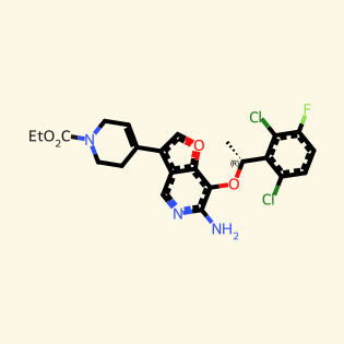 CCOC(=O)N1CC=C(c2coc3c(O[C@H](C)c4c(Cl)ccc(F)c4Cl)c(N)ncc23)CC1